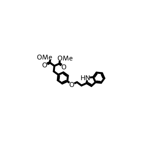 COC(=O)C(Cc1ccc(OCCc2cc3ccccc3[nH]2)cc1)C(=O)OC